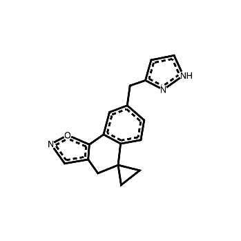 c1cc(Cc2ccc3c(c2)-c2oncc2CC32CC2)n[nH]1